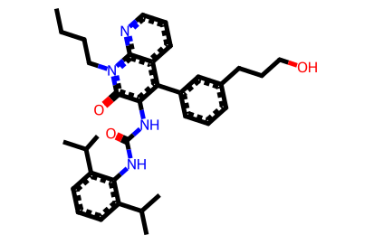 CCCCn1c(=O)c(NC(=O)Nc2c(C(C)C)cccc2C(C)C)c(-c2cccc(CCCO)c2)c2cccnc21